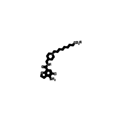 Nc1c(Cl)cc(C(=O)NCC2CCN(CCCCCCCCC(=O)O)CC2)c2c1CCO2